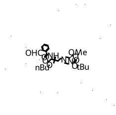 CCCCOC(=O)C(NC(=O)c1ccccc1C=O)C(C)(C)CCN1CCN(C(=O)OC(C)(C)C)[C@H](C(=O)OC)C1